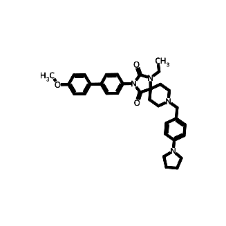 CCN1C(=O)N(c2ccc(-c3ccc(OC)cc3)cc2)C(=O)C12CCN(Cc1ccc(N3CCCC3)cc1)CC2